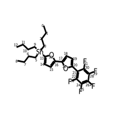 CCC[CH2][Sn]([CH2]CCC)([CH2]CCC)[c]1ccc(-c2ccc(-c3c(F)c(F)c(F)c(F)c3F)o2)o1